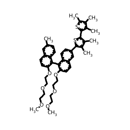 COCCOCCOc1ccc2cc(C)ccc2c1-c1c(OCCOCCOC)ccc2cc(-c3sc(-c4sc(C)c(C)c4C)c(C)c3C)ccc12